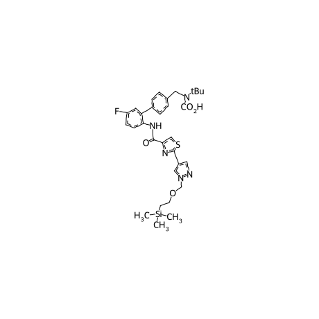 CC(C)(C)N(Cc1ccc(-c2cc(F)ccc2NC(=O)c2csc(-c3cnn(COCC[Si](C)(C)C)c3)n2)cc1)C(=O)O